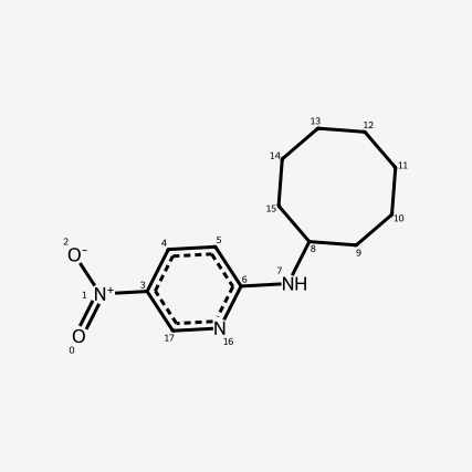 O=[N+]([O-])c1ccc(NC2CCCCCCC2)nc1